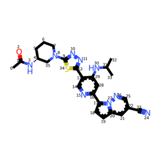 CC(=O)N[C@@H]1CCCN(c2nnc(-c3cnc(-c4ccc5cc(C#N)cnn45)cc3NC(C)C)s2)C1